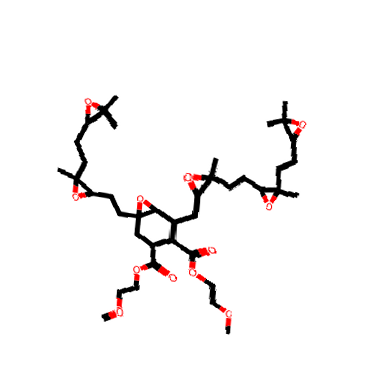 COCCOC(=O)C1CC2(CCC3OC3(C)CCC3OC3(C)C)OC2C(CC2OC2(C)CCC2OC2(C)CCC2OC2(C)C)C1C(=O)OCCOC